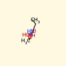 CCCCCC/C=C\CCCCCCCC(=O)NCCCN(CCCOCCCC)CC(O)CO